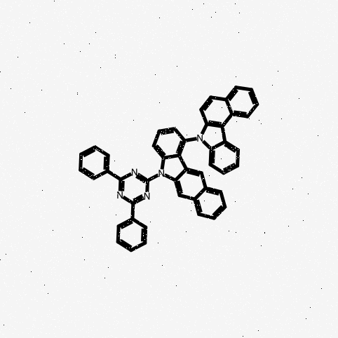 c1ccc(-c2nc(-c3ccccc3)nc(-n3c4cc5ccccc5cc4c4c(-n5c6ccccc6c6c7ccccc7ccc65)cccc43)n2)cc1